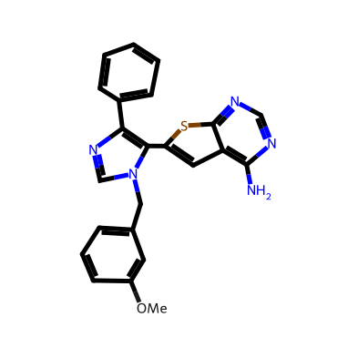 COc1cccc(Cn2cnc(-c3ccccc3)c2-c2cc3c(N)ncnc3s2)c1